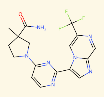 CC1(C(N)=O)CCN(c2ccnc(-c3cnc4cnc(C(F)(F)F)cn34)n2)C1